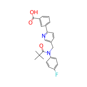 CC(C)(C)C(=O)N(Cc1ccc(-c2cccc(C(=O)O)c2)nc1)c1ccc(F)cc1